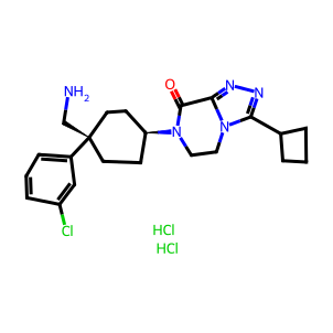 Cl.Cl.NC[C@]1(c2cccc(Cl)c2)CC[C@H](N2CCn3c(nnc3C3CCC3)C2=O)CC1